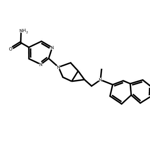 CN(CC1C2CN(c3ncc(C(N)=O)cn3)CC12)c1ccc2ccccc2c1